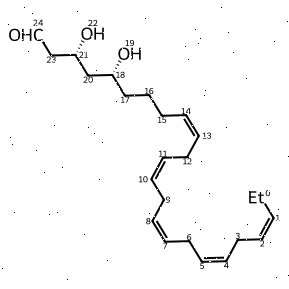 CC/C=C\C/C=C\C/C=C\C/C=C\C/C=C\CCC[C@@H](O)C[C@@H](O)CC=O